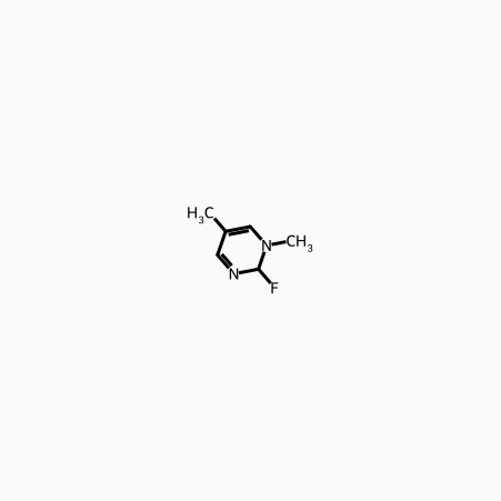 CC1=CN(C)C(F)N=C1